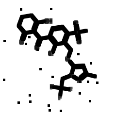 Cc1cc(OCc2c(S(C)(=O)=O)ccc(C(=O)C3=C(O)CCCC3=O)c2Cl)n(CC(F)(F)F)n1